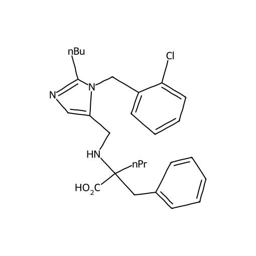 CCCCc1ncc(CNC(CCC)(Cc2ccccc2)C(=O)O)n1Cc1ccccc1Cl